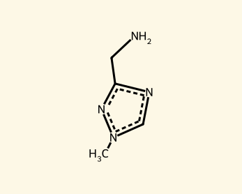 Cn1cnc(CN)n1